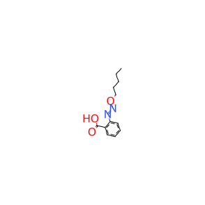 CCCCCON=Nc1ccccc1C(=O)O